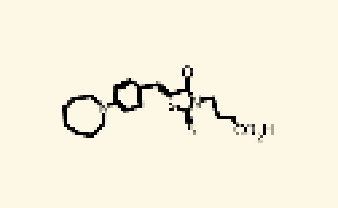 O=C(O)CCCN1C(=O)C(=Cc2ccc(N3CCCCCCC3)cc2)SC1=S